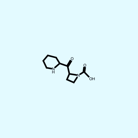 O=C(C1CCCCN1)C1CCN1C(=O)O